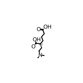 CN(C)CC[C@H](CCCC(=O)O)C(=O)O